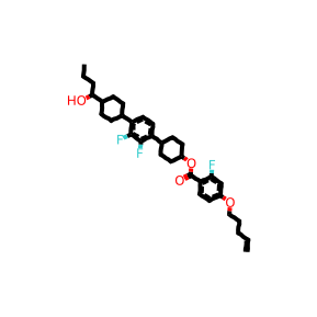 C=CCCCOc1ccc(C(=O)OC2CCC(c3ccc(C4CCC(C(O)CCC)CC4)c(F)c3F)CC2)c(F)c1